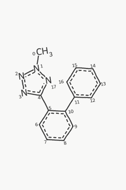 Cn1nnc(-c2ccccc2-c2ccccc2)n1